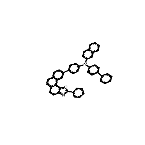 c1ccc(-c2ccc(N(c3ccc(-c4ccc5ccc6ccc7nc(-c8ccccc8)oc7c6c5c4)cc3)c3ccc4ccccc4c3)cc2)cc1